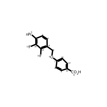 CCCc1ccc(COc2ccc(C(=O)O)cc2)c(F)c1F